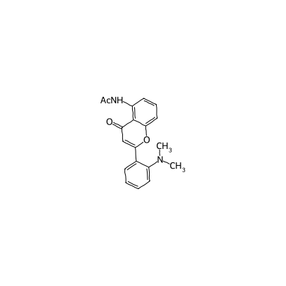 CC(=O)Nc1cccc2oc(-c3ccccc3N(C)C)cc(=O)c12